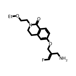 CCOCCN1CCc2cc(OC/C(=C\F)CN)ccc2C1=O